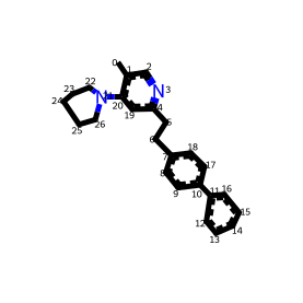 Cc1cnc(CCc2ccc(-c3ccccc3)cc2)cc1N1CCCCC1